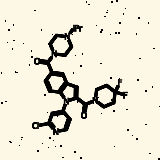 CC(C)N1CCN(C(=O)c2ccc3c(c2)cc(C(=O)N2CCC(F)(F)CC2)n3-c2ccnc(Cl)c2)CC1